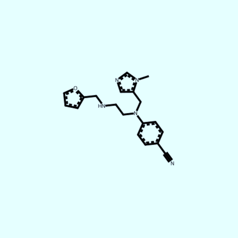 Cn1cncc1CN(CCNCc1ccco1)c1ccc(C#N)cc1